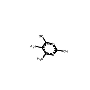 N#Cc1nc(N)c(N)c(C#N)n1